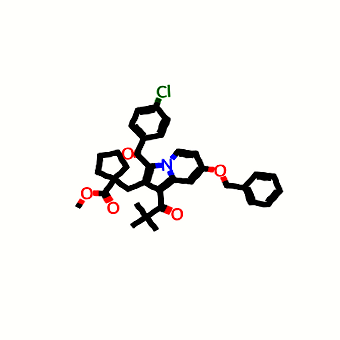 COC(=O)C1(Cc2c(C(=O)C(C)(C)C)c3cc(OCc4ccccc4)ccn3c2C(=O)c2ccc(Cl)cc2)CCCC1